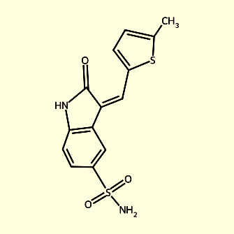 Cc1ccc(C=C2C(=O)Nc3ccc(S(N)(=O)=O)cc32)s1